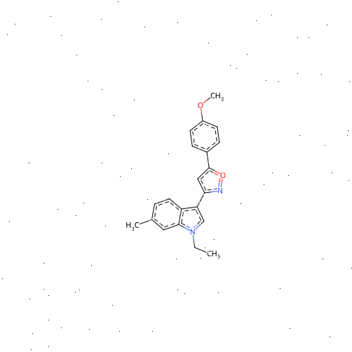 CCn1cc(-c2cc(-c3ccc(OC)cc3)on2)c2ccc(C)cc21